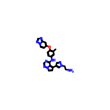 Cc1cc(Nc2ncnn3ccc(-c4cnn(CCN)c4)c23)ccc1Oc1ccn2ncnc2c1